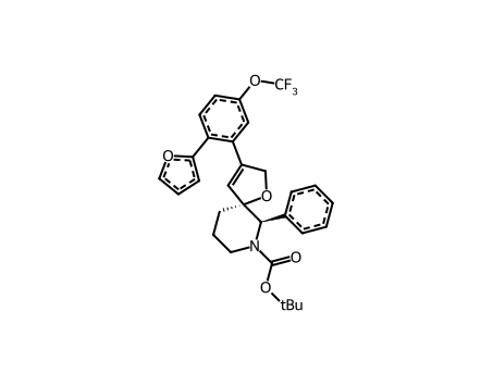 CC(C)(C)OC(=O)N1CCC[C@@]2(C=C(c3cc(OC(F)(F)F)ccc3-c3ccco3)CO2)[C@H]1c1ccccc1